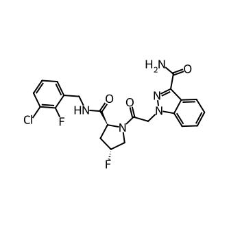 NC(=O)c1nn(CC(=O)N2C[C@H](F)C[C@H]2C(=O)NCc2cccc(Cl)c2F)c2ccccc12